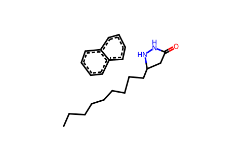 CCCCCCCCCC1CC(=O)NN1.c1ccc2ccccc2c1